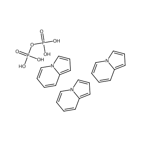 O=P(O)(O)OP(=O)(O)O.c1ccn2cccc2c1.c1ccn2cccc2c1.c1ccn2cccc2c1